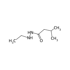 CCNNC(=O)CC(C)C